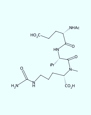 CC(=O)N[C@@H](CCC(=O)O)C(=O)N[C@H](C(=O)N(C)[C@@H](CCCNC(N)=O)C(=O)O)C(C)C